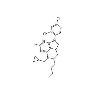 CCCCC1CC2CN(c3ccc(Cl)cc3Cl)c3nc(C)nc(c32)N1CC1CC1